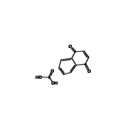 O=C1C=CC(=O)c2ccccc21.O=S(O)O